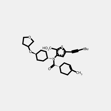 CC1=CC[C@@H](C(=O)N(c2cc(C#CC(C)(C)C)sc2C(=O)O)[C@H]2CC[C@H](OC3CCOC3)CC2)CC1